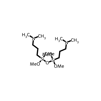 CO[Si](CCCN(C)C)(OC)O[Si](CCCN(C)C)(OC)OC